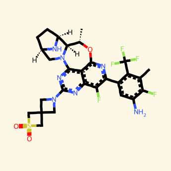 Cc1c(F)c(N)cc(-c2nc3c4c(nc(N5CC6(C5)CS(=O)(=O)C6)nc4c2F)N2C[C@H]4CC[C@H](N4)[C@H]2[C@H](C)O3)c1C(F)(F)F